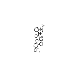 O=C(c1sccc1OC1=CCC(C(F)(F)F)C=C1Cl)N1CCN(C2CC2)c2ccccc21